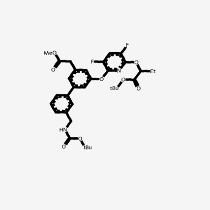 CCC(Oc1nc(Oc2cc(CC(=O)OC)cc(-c3cccc(CNC(=O)OC(C)(C)C)c3)c2)c(F)cc1F)C(=O)OC(C)(C)C